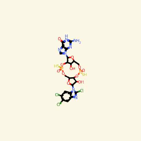 Nc1nc2c(ncn2C2OC3COP(=O)(S)OC4C(COP(=O)(S)OC2C3O)OC(n2c(Cl)nc3cc(Cl)c(Cl)cc32)C4O)c(=O)[nH]1